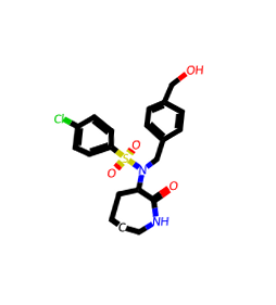 O=C1NCCCCC1N(Cc1ccc(CO)cc1)S(=O)(=O)c1ccc(Cl)cc1